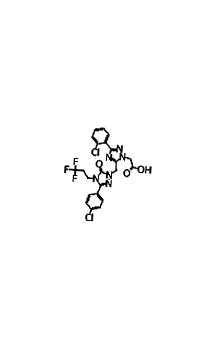 O=C(O)Cn1nc(-c2ccccc2Cl)nc1Cn1nc(-c2ccc(Cl)cc2)n(CCC(F)(F)F)c1=O